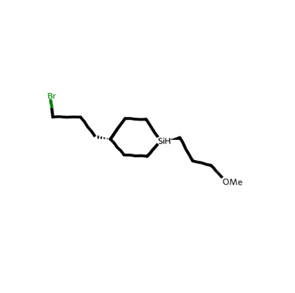 COCCC[Si@H]1CC[C@H](CCCBr)CC1